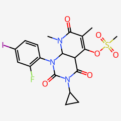 CC1=C(OS(C)(=O)=O)C2C(=O)N(C3CC3)C(=O)N(c3ccc(I)cc3F)C2N(C)C1=O